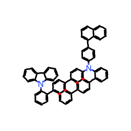 c1ccc(-c2ccc(-c3ccccc3N(c3ccc(-c4ccc(-c5ccccc5-n5c6ccccc6c6ccccc65)cc4)cc3)c3ccc(-c4cccc5ccccc45)cc3)cc2)cc1